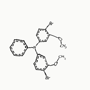 COc1cc(N(c2ccccc2)c2ccc(Br)c(OC)c2)ccc1Br